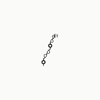 CCOCCOCc1ccc(CCOCCOCCc2ccc(C)cc2)cc1